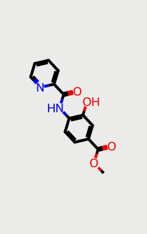 COC(=O)c1ccc(NC(=O)c2ccccn2)c(O)c1